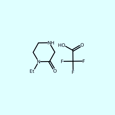 CCN1CCNCC1=O.O=C(O)C(F)(F)F